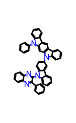 c1ccc(-c2nc3ccccc3nc2-n2c3ccccc3c3cc(-n4c5ccccc5c5cc6c7ccccc7n(-c7ccccc7)c6cc54)ccc32)cc1